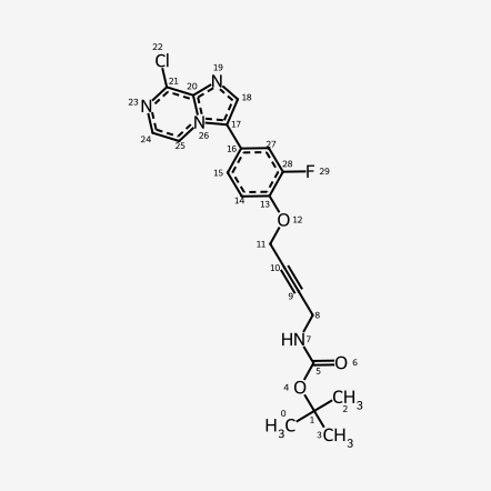 CC(C)(C)OC(=O)NCC#CCOc1ccc(-c2cnc3c(Cl)nccn23)cc1F